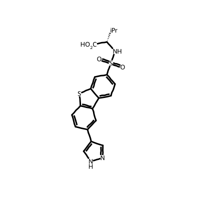 CC(C)[C@H](NS(=O)(=O)c1ccc2c(c1)sc1ccc(-c3cn[nH]c3)cc12)C(=O)O